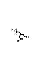 CCCC(CC(N)=O)CC(=O)O